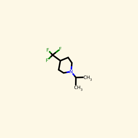 CC(C)N1CCC(C(F)(F)F)CC1